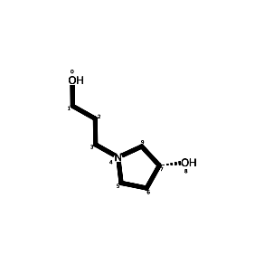 OCCCN1CC[C@@H](O)C1